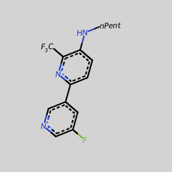 CCCCCNc1ccc(-c2cncc(F)c2)nc1C(F)(F)F